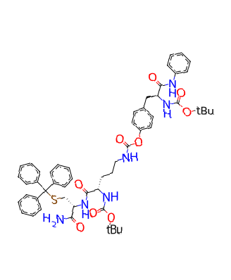 CC(C)(C)OC(=O)N[C@@H](Cc1ccc(OC(=O)NCCC[C@H](NC(=O)OC(C)(C)C)C(=O)N[C@@H](CSC(c2ccccc2)(c2ccccc2)c2ccccc2)C(N)=O)cc1)C(=O)Nc1ccccc1